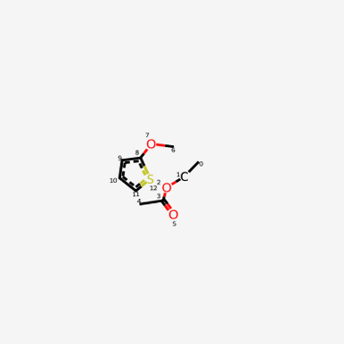 CCOC(C)=O.COc1cccs1